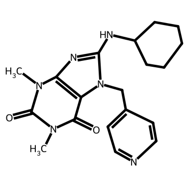 Cn1c(=O)c2c(nc(NC3CCCCC3)n2Cc2ccncc2)n(C)c1=O